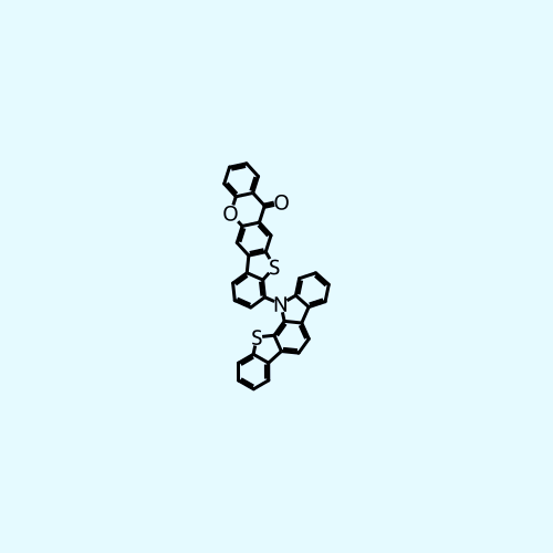 O=c1c2ccccc2oc2cc3c(cc12)sc1c(-n2c4ccccc4c4ccc5c6ccccc6sc5c42)cccc13